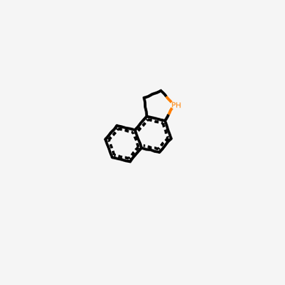 c1ccc2c3c(ccc2c1)PCC3